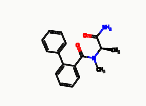 C[C@H](C(N)=O)N(C)C(=O)c1ccccc1-c1ccccc1